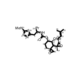 CNc1nnc(CC(NC(=O)O[C@@H]2CC[C@]3(CO3)C([C@@]3(C)O[C@@H]3CC=C(C)C)[C@@H]2OC)C(C)C)s1